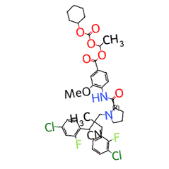 COc1cc(C(=O)OC(C)OC(=O)OC2CCCCC2)ccc1NC(=O)[C@H]1CCCN1CC(C)(Cc1cccc(Cl)c1F)C(C#N)c1ccc(Cl)cc1F